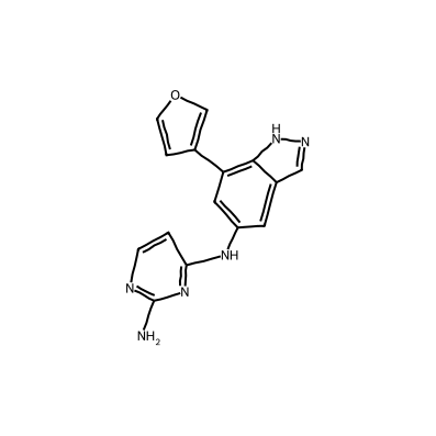 Nc1nccc(Nc2cc(-c3ccoc3)c3[nH]ncc3c2)n1